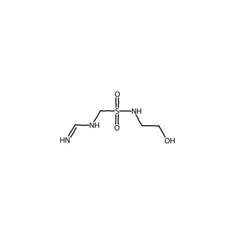 N=CNCS(=O)(=O)NCCO